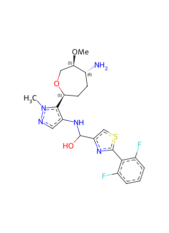 CO[C@@H]1CO[C@H](c2c(NC(O)c3csc(-c4c(F)cccc4F)n3)cnn2C)CC[C@H]1N